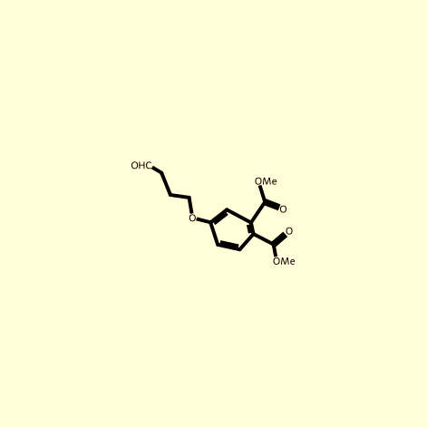 COC(=O)c1ccc(OCCCC=O)cc1C(=O)OC